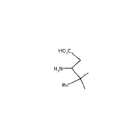 CCC(C)C(C)(C)C(N)CC(=O)O